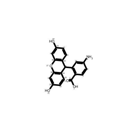 Nc1ccc(C(=O)O)c(C2c3ccc(O)cc3Oc3cc(O)ccc32)c1